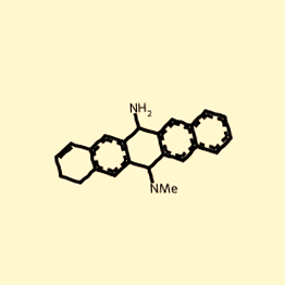 CNC1c2cc3c(cc2C(N)c2cc4ccccc4cc21)C=CCC3